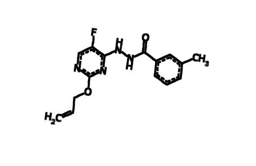 C=CCOc1ncc(F)c(NNC(=O)c2cccc(C)c2)n1